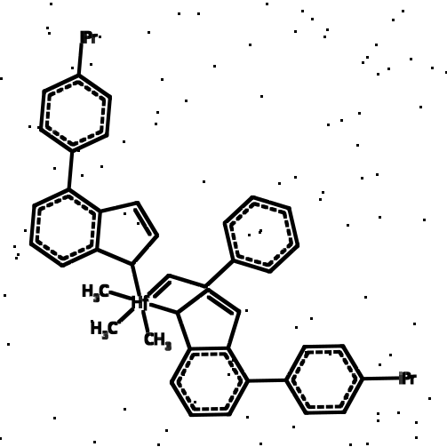 CC(C)c1ccc(-c2cccc3c2C=C[CH]3[Hf]([CH3])([CH3])([CH3])(=[CH]Cc2ccccc2)[CH]2C=Cc3c(-c4ccc(C(C)C)cc4)cccc32)cc1